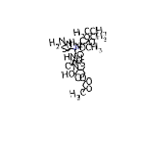 CC(=O)CC(=O)OCC1=C(C(=O)O)N2C(=O)[C@@H](NC(=O)/C(=N\OC(C)(C)C(=O)OC(C)(C)C)c3csc(N)n3)[C@H]2SC1